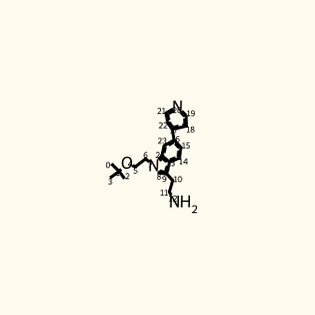 CC(C)(C)OCCn1cc(CCN)c2ccc(-c3ccncc3)cc21